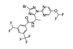 CC(NC(=O)c1cc(C(F)F)cc(C(F)(F)F)c1)c1nc(Br)nn1-c1ncc(OC(F)F)cn1